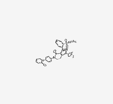 CC(=O)NS(=O)(=O)c1ccccc1-n1nc(C(F)(F)F)c2c1C(=O)N(c1ccc(-n3ccccc3=O)cc1)CC2